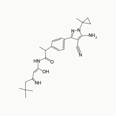 CC(C(=O)N/C(O)=C/C(=N)CC(C)(C)C)c1ccc(-c2nn(C3(C)CC3)c(N)c2C#N)cc1